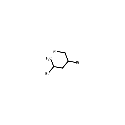 CCC(CC(C)C)CC(CC)C(F)(F)F